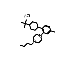 CCCCN1CCN(c2cc(C)ccc2C2CCC(C(C)(C)C)CC2)CC1.Cl